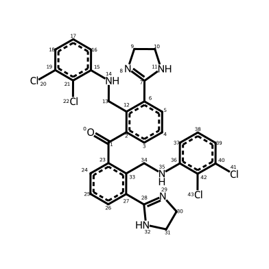 O=C(c1cccc(C2=NCCN2)c1CNc1cccc(Cl)c1Cl)c1cccc(C2=NCCN2)c1CNc1cccc(Cl)c1Cl